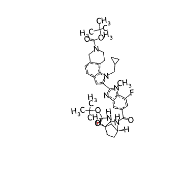 Cn1c(-c2cc3ccc4c(c3n2CC2CC2)CCN(C(=O)OC(C)(C)C)C4)nc2cc(C(=O)N3C[C@H]4CC[C@@H]3[C@@H]4NC(=O)OC(C)(C)C)cc(F)c21